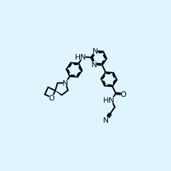 N#CCNC(=O)c1ccc(-c2ccnc(Nc3ccc(N4CC[C@@]5(CCO5)C4)cc3)n2)cc1